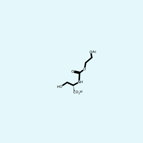 CC(=O)OCCOC(=O)N[C@@H](CO)C(=O)O